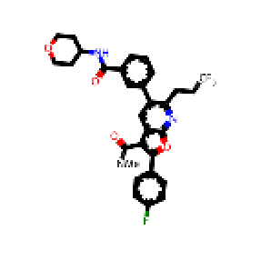 CNC(=O)c1c(-c2ccc(F)cc2)oc2nc(CCC(F)(F)F)c(-c3cccc(C(=O)NC4CCOCC4)c3)cc12